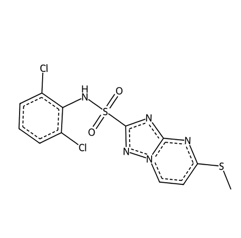 CSc1ccn2nc(S(=O)(=O)Nc3c(Cl)cccc3Cl)nc2n1